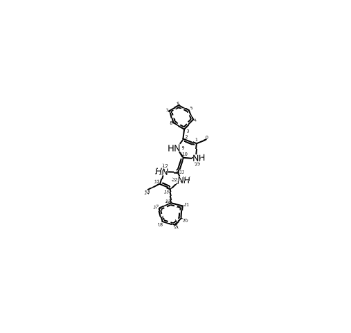 CC1=C(c2ccccc2)N/C(=C2\NC(C)=C(c3ccccc3)N2)N1